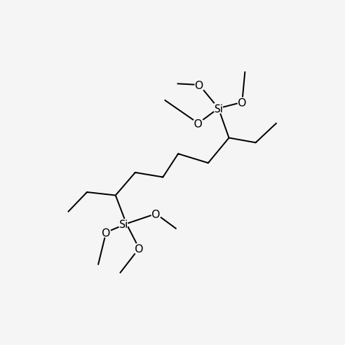 CCC(CCCCC(CC)[Si](OC)(OC)OC)[Si](OC)(OC)OC